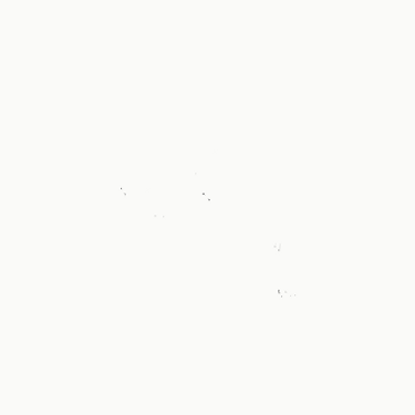 CCOc1nccc(Cl)c1C(=O)NCc1ccc(OC)nc1